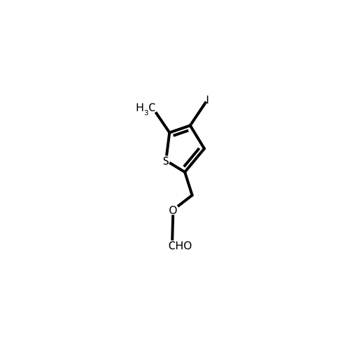 Cc1sc(COC=O)cc1I